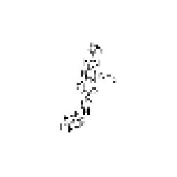 Nc1nc(N2CC[C@H]2C(=O)N2CCN(CC(F)(F)C(F)(F)C(F)(F)F)CC2)nc2nc(-c3ccco3)nn12